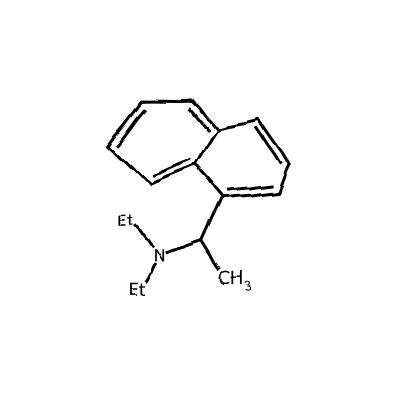 CCN(CC)C(C)c1cccc2ccccc12